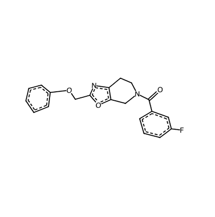 O=C(c1cccc(F)c1)N1CCc2nc(COc3ccccc3)oc2C1